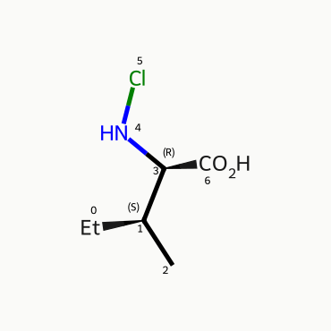 CC[C@H](C)[C@@H](NCl)C(=O)O